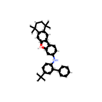 CC(C)(C)c1ccc(Nc2ccc3c(c2)oc2cc4c(cc23)C(C)(C)CCC4(C)C)c(-c2ccccc2)c1